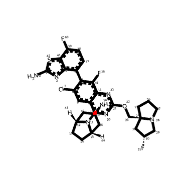 Nc1nc2c(-c3c(Cl)cc4c(N5[C@@H]6CC[C@H]5CC(N)C6)nc(OC[C@@]56CCCN5C[C@H](F)C6)nc4c3F)ccc(F)c2s1